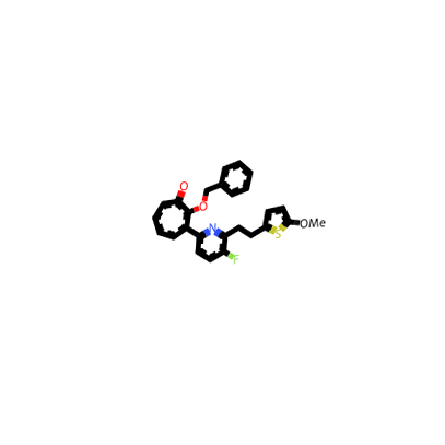 COc1ccc(CCc2nc(-c3ccccc(=O)c3OCc3ccccc3)ccc2F)s1